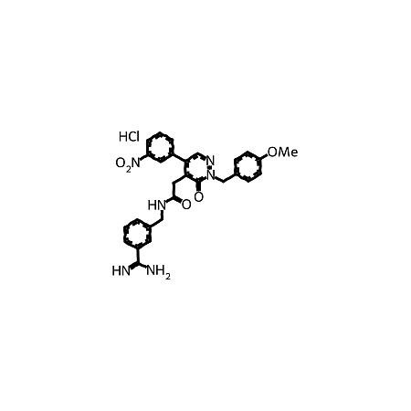 COc1ccc(Cn2ncc(-c3cccc([N+](=O)[O-])c3)c(CC(=O)NCc3cccc(C(=N)N)c3)c2=O)cc1.Cl